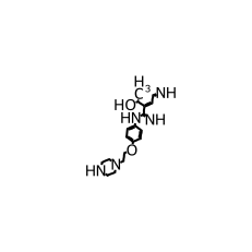 C[C@@H](O)/C(=C\C=N)C(=N)Nc1ccc(OCCN2CCNCC2)cc1